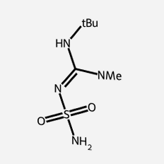 CN/C(=N\S(N)(=O)=O)NC(C)(C)C